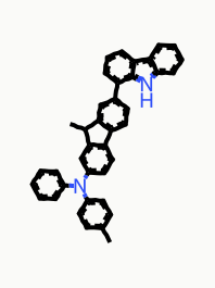 Cc1ccc(N(c2ccccc2)c2ccc3c(c2)C(C)c2cc(-c4cccc5c4[nH]c4ccccc45)ccc2-3)cc1